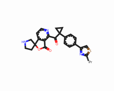 CC(C)c1nc(-c2ccc(C3(C(=O)c4nccc5c4C(=O)OC54CCNC4)CC3)cc2)cs1